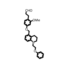 COc1cc(OCc2cccc3c2CCCN3CCOc2ccccc2)ccc1CCC=O